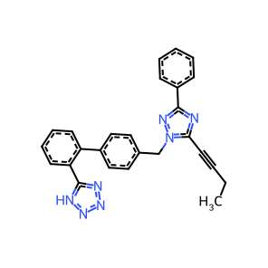 CCC#Cc1nc(-c2ccccc2)nn1Cc1ccc(-c2ccccc2-c2nnn[nH]2)cc1